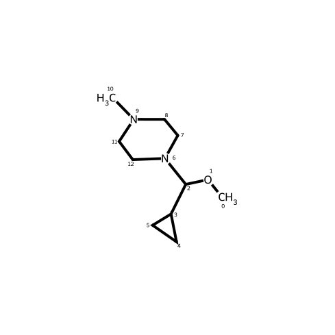 COC([C]1CC1)N1CCN(C)CC1